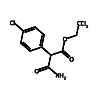 NC(=O)C(C(=O)OCC(Cl)(Cl)Cl)c1ccc(Cl)cc1